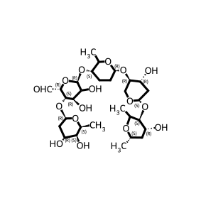 CC1O[C@H](O[C@@H]2CO[C@@H](O[C@@H]3C(C)O[C@@H](C)C[C@H]3O)C[C@H]2O)CC[C@@H]1O[C@@H]1O[C@@H](C=O)[C@@H](O[C@@H]2C[C@@H](O)[C@H](O)[C@H](C)O2)[C@H](O)C1O